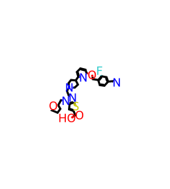 N#Cc1ccc(COc2cccc(C3CCN(Cc4nc5sc(C(=O)O)cc5n4CC4CCCO4)CC3)n2)c(F)c1